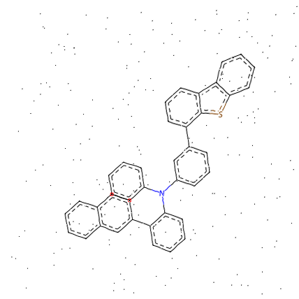 c1ccc(N(c2cccc(-c3cccc4c3sc3ccccc34)c2)c2ccccc2-c2ccc3ccccc3c2)cc1